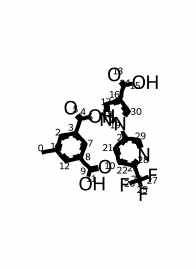 Cc1cc(C(=O)O)cc(C(=O)O)c1.O=C(O)c1cnn(-c2ccc(C(F)(F)F)nc2)c1